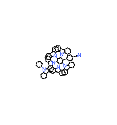 N#Cc1ccc(-c2c(-n3c4ccccc4c4ccccc43)c(-n3c4ccccc4c4ccccc43)c(-n3c4ccccc4c4c3ccc3c5ccccc5n(-c5ccccc5)c34)c(-n3c4ccccc4c4ccccc43)c2-n2c3ccccc3c3ccccc32)cc1